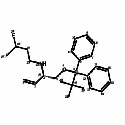 C=C[C@@H](CO[Si](c1ccccc1)(c1ccccc1)C(C)(C)C)NCCC(F)F